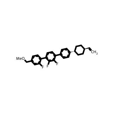 C=C[C@H]1CC[C@H](c2ccc(-c3ccc(-c4ccc(COC)cc4F)c(F)c3F)cc2)CC1